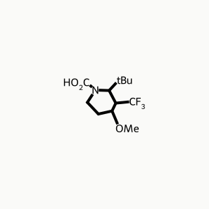 COC1CCN(C(=O)O)C(C(C)(C)C)C1C(F)(F)F